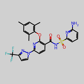 Cc1cc(C)c(Oc2nc(-n3ccc(C(F)(F)F)n3)ccc2C(=O)NS(=O)(=O)c2cccc(N)n2)c(C)c1